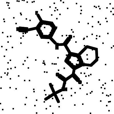 CC(C)(C)NC(=O)C(=O)c1cc(C(=O)Nc2ccc(F)c(C#N)c2)c2n1CCCC2